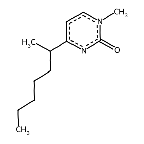 CCCCCC(C)c1ccn(C)c(=O)n1